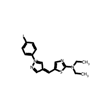 CCN(CC)c1ncc(/C=C2/C=N[N+](c3ccc(I)cc3)=C2)s1